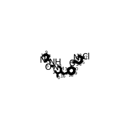 CC1CN(C(=O)Nc2cccnc2)CC/C1=C\c1cccc(Oc2ccc(Cl)cn2)c1